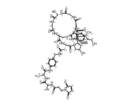 CC[C@H](C)[C@@H]1NC(=O)CNC(=O)C2Cc3c([nH]c4ccccc34)SCC(NC(=O)CNC1=O)C(=O)N[C@@H](CC(=O)NCc1ccc(NC(=O)[C@H](C)NC(=O)C(NC(=O)CCN3C(=O)C=CC3=O)C(C)C)cc1)C(=O)N1C[C@H](O)C[C@]1(C=O)N[C@@H]([C@@H](C)[C@@H](O)CO)C(=O)N2